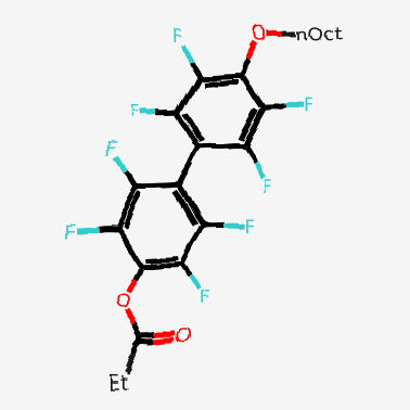 CCCCCCCCOc1c(F)c(F)c(-c2c(F)c(F)c(OC(=O)CC)c(F)c2F)c(F)c1F